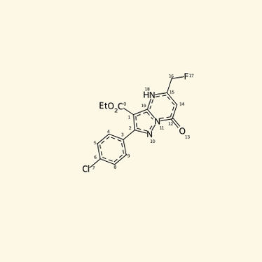 CCOC(=O)c1c(-c2ccc(Cl)cc2)nn2c(=O)cc(CF)[nH]c12